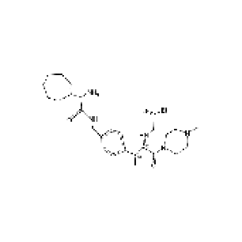 CCC(=O)CN[C@@H](C(=O)N1CCN(C)CC1)[C@@H](C)c1ccc(CNC(=O)C(N)C2CCCCCC2)cc1